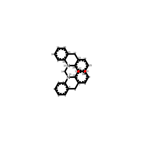 c1ccc2c(c1)Cc1ccccc1N2CN1c2ccccc2Cc2ccccc21